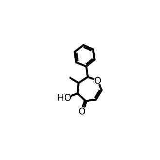 CC1C(O)C(=O)C=COC1c1ccccc1